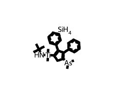 C[As](C)C1=C(c2ccccc2)C(c2ccccc2)=[C]([Ti]([CH3])([CH3])[NH]C(C)(C)C)C1.[SiH4]